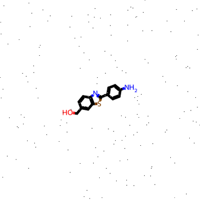 Nc1ccc(-c2nc3ccc(CO)cc3s2)cc1